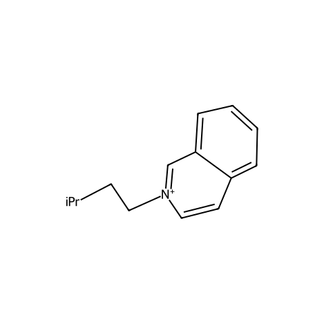 CC(C)CC[n+]1ccc2ccccc2c1